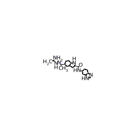 C=C(N)N/N=C(\C)c1ccc2[nH]c(C(=O)Nc3ccc4nc[nH]c4c3)cc2c1